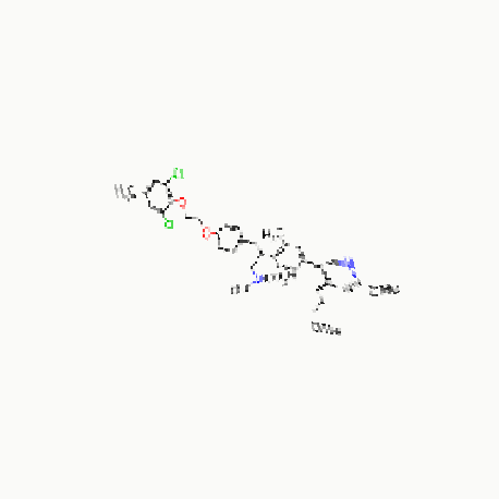 COCCCc1cc(OC)ncc1-c1ccc(C(Cc2ccc(OCCOc3c(Cl)cc(C)cc3Cl)cc2)CN(C(=O)O)C(C)(C)C)c(C)c1